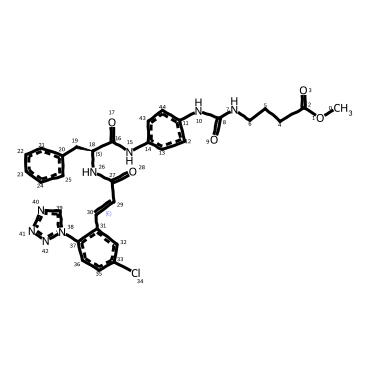 COC(=O)CCCNC(=O)Nc1ccc(NC(=O)[C@H](Cc2ccccc2)NC(=O)/C=C/c2cc(Cl)ccc2-n2cnnn2)cc1